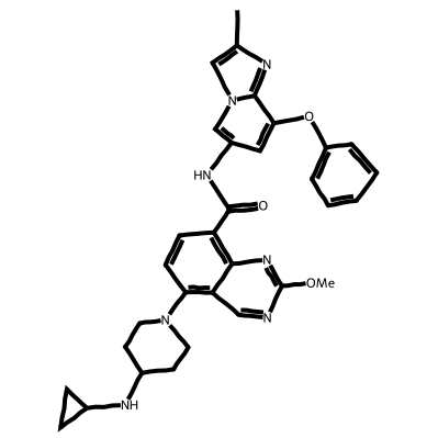 COc1ncc2c(N3CCC(NC4CC4)CC3)ccc(C(=O)Nc3cc(Oc4ccccc4)c4nc(C)cn4c3)c2n1